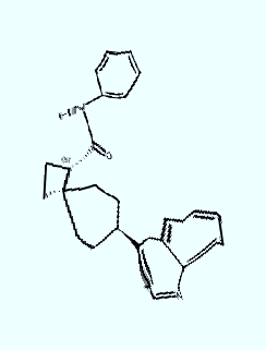 O=C(Nc1ccccc1)[C@H]1CC[C@]12CC[C@H](c1ccnc3ccccc31)CC2